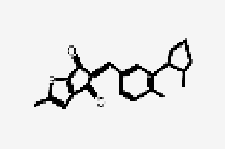 Cc1cc2c(s1)C(=O)/C(=C/c1ccc(C)c(C3CCCC3C)c1)C2=O